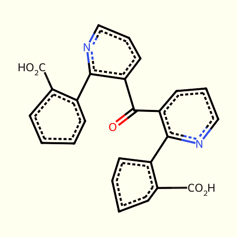 O=C(O)c1ccccc1-c1ncccc1C(=O)c1cccnc1-c1ccccc1C(=O)O